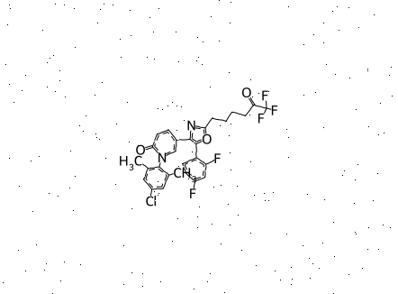 Cc1cc(Cl)cc(C)c1-n1cc(-c2nc(CCCCC(=O)C(F)(F)F)oc2-c2ccc(F)cc2F)ccc1=O